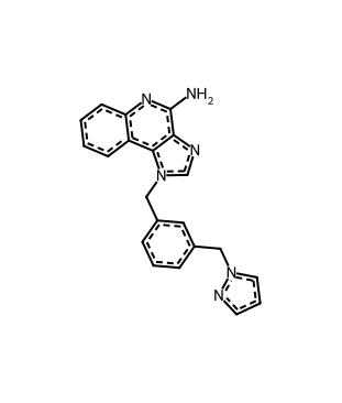 Nc1nc2ccccc2c2c1ncn2Cc1cccc(Cn2cccn2)c1